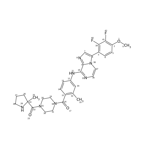 COc1ccc(-c2cnc3c(Nc4ccc(C(=O)N5CCN(C(=O)C6(C)CCCN6)CC5)c(C)c4)nccn23)c(F)c1F